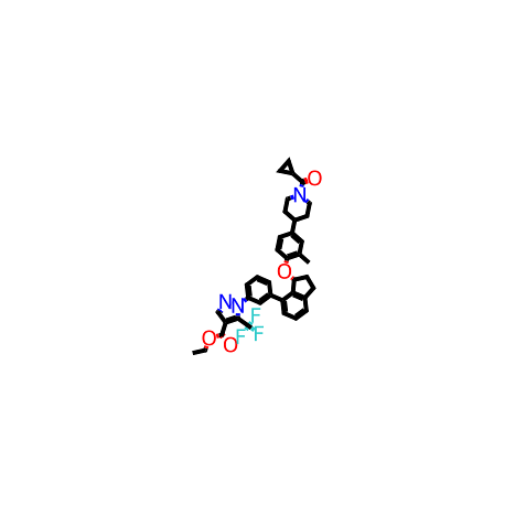 CCOC(=O)c1cnn(-c2cccc(-c3cccc4c3C(Oc3ccc(C5CCN(C(=O)C6CC6)CC5)cc3C)CC4)c2)c1C(F)(F)F